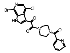 O=C(C(=O)N1CCN(C(=O)c2ccccn2)CC1)c1c[nH]c2c(Br)ncc(Cl)c12